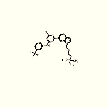 C[Si](C)(C)CCOCn1cnc2ncc(-c3nc(Cl)nc(Nc4cccc(C(F)(F)F)c4)n3)cc21